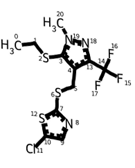 CCSc1c(CSc2ncc(Cl)s2)c(C(F)(F)F)nn1C